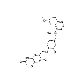 COc1ccc2nccc([C@@H](O)CN3CCC(NCc4nc5c(cc4Cl)OCC(=O)N5)C(F)C3)c2n1